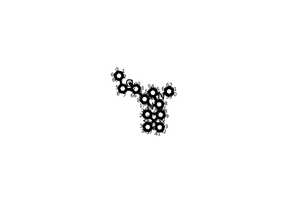 c1ccc(-c2cccc3c2oc2ccc(-c4ccc(N(c5cccc6c5-c5ccccc5C6(c5ccccc5)c5ccccc5)c5cccc6c5c5ccccc5n6-c5ccccc5)cc4)cc23)cc1